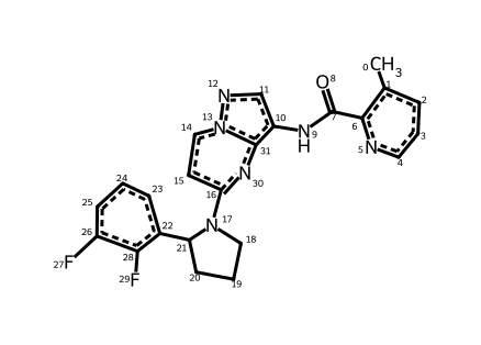 Cc1cccnc1C(=O)Nc1cnn2ccc(N3CCCC3c3cccc(F)c3F)nc12